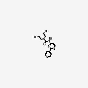 CCN(C(=O)N(CCO)CCO)c1ccnc(-c2ccncc2)n1